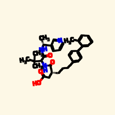 Cc1ccccc1-c1ccc(CCC[C@H](CC(=O)O)C(=O)N[C@H](C(=O)N[C@H](C)c2cccnc2)C(C)(C)C)cc1